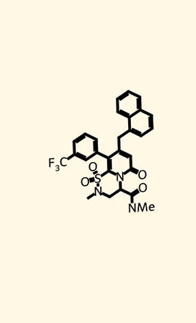 CNC(=O)C1CN(C)S(=O)(=O)c2c(-c3cccc(C(F)(F)F)c3)c(Cc3cccc4ccccc34)cc(=O)n21